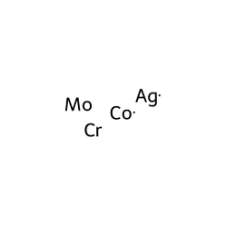 [Ag].[Co].[Cr].[Mo]